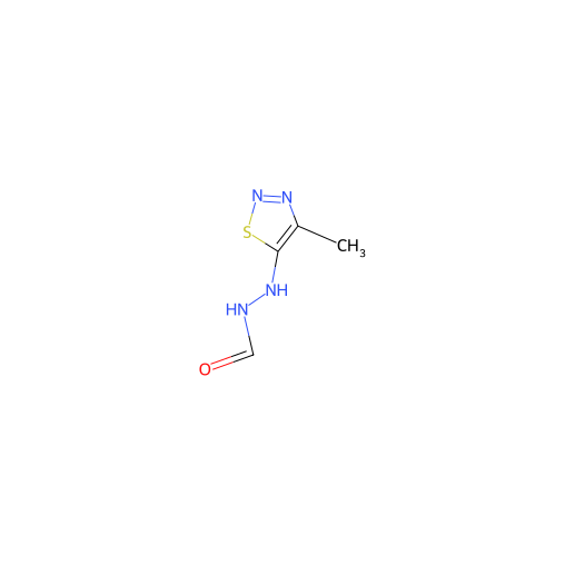 Cc1nnsc1NNC=O